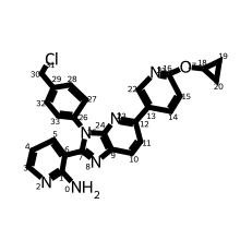 Nc1ncccc1-c1nc2ccc(-c3ccc(OC4CC4)nc3)nc2n1-c1ccc(CCl)cc1